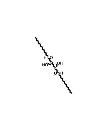 CCCCCCCCCCCCCCNC(=O)CCN(CCO)CCN(CCO)CCC(=O)NCCCCCCCCCCCCCC